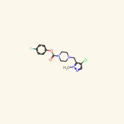 Cn1ncc(Cl)c1CN1CCN(C(=O)Oc2ccc(F)cc2)CC1